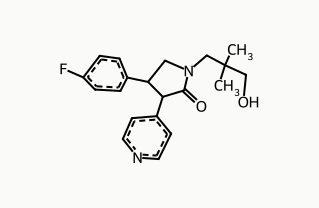 CC(C)(CO)CN1CC(c2ccc(F)cc2)C(c2ccncc2)C1=O